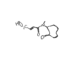 CN(C(=O)/C=C/C(=O)O)C1CCCCC1=O